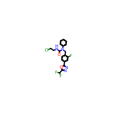 O=C(NCCCl)N(Cc1ccc(-c2nnc(C(F)F)o2)cc1F)c1ccccc1